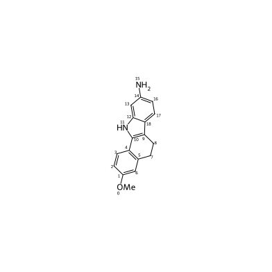 COc1ccc2c(c1)CCc1c-2[nH]c2cc(N)ccc12